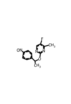 Cc1nc(OC(C)c2ccc(N=O)cc2)ncc1F